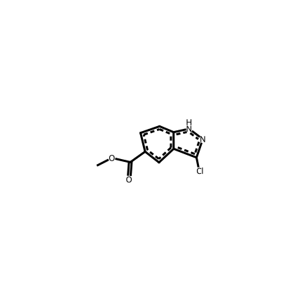 COC(=O)c1ccc2[nH]nc(Cl)c2c1